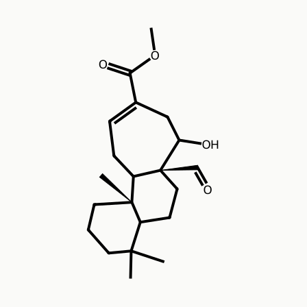 COC(=O)C1=CCC2[C@@]3(C)CCCC(C)(C)C3CC[C@@]2(C=O)C(O)C1